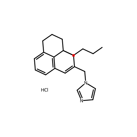 CCCCC12CCCc3cccc(c31)C=C(Cn1ccnc1)C2.Cl